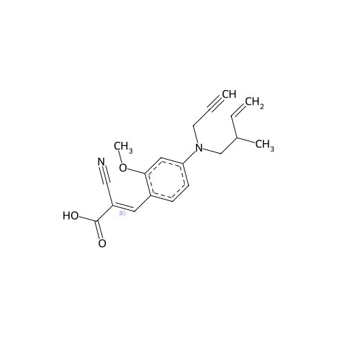 C#CCN(CC(C)C=C)c1ccc(/C=C(\C#N)C(=O)O)c(OC)c1